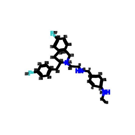 CCNc1ccc(CNCCN2Cc3ccc(F)cc3CC2Cc2ccc(F)cc2)cc1